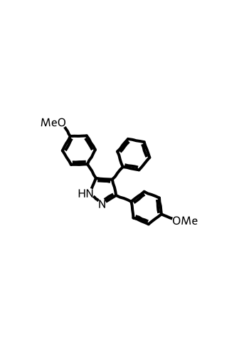 COc1ccc(-c2n[nH]c(-c3ccc(OC)cc3)c2-c2ccccc2)cc1